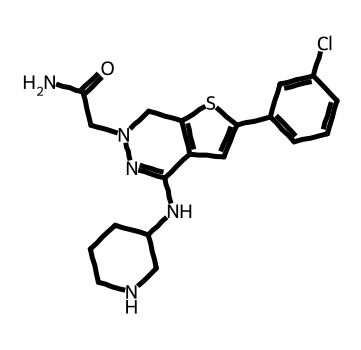 NC(=O)CN1Cc2sc(-c3cccc(Cl)c3)cc2C(NC2CCCNC2)=N1